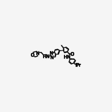 Cc1ccc(C(=O)Nc2ccc(C(C)C)cc2)cc1-c1ccc2nc(NCCCN3CCOCC3)ncc2c1